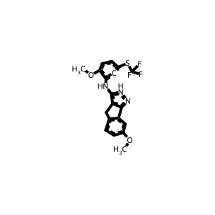 COc1ccc2c(c1)-c1n[nH]c(Nc3cc(SC(F)(F)F)ccc3OC)c1C2